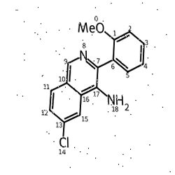 COc1ccccc1-c1ncc2ccc(Cl)cc2c1N